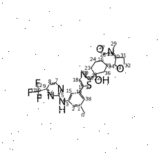 Cc1cc(Nc2nccc(C(F)(F)F)n2)cc(-c2cnc([C@]3(O)CC[C@H](C(=O)N(C)C4CCOC4)CC3)s2)c1